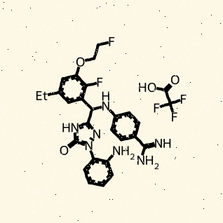 CCc1cc(OCCF)c(F)c(C(Nc2ccc(C(=N)N)cc2)c2nn(-c3ccccc3N)c(=O)[nH]2)c1.O=C(O)C(F)(F)F